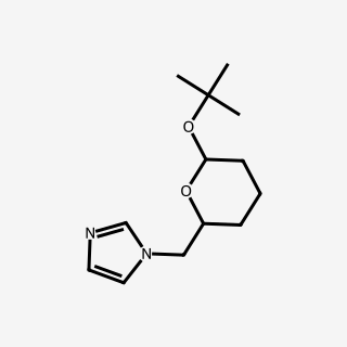 CC(C)(C)OC1CCCC(Cn2ccnc2)O1